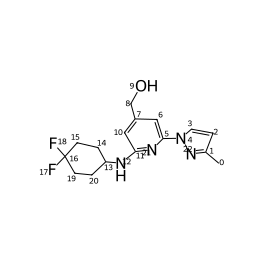 Cc1ccn(-c2cc(CO)cc(NC3CCC(F)(F)CC3)n2)n1